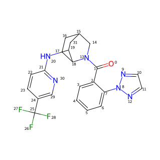 O=C(c1ccccc1-n1nccn1)N1CC2CCC1C(Nc1ccc(C(F)(F)F)cn1)C2